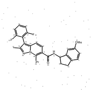 COc1ccc2c(c1)C(NC(=O)c1ccc3c(-c4c(F)cccc4F)c(C)nn3c1C(C)C)CC2